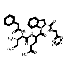 CC[C@H](C)[C@H](NC(=O)Cc1ccccc1)C(=O)NC(CCC(=O)O)C(=O)N1c2ccccc2C[C@H]1C(=O)NCc1nn[nH]n1